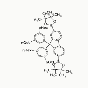 CCCCCCCCc1cc(CCCCCC)cc(C2(c3cc(CCCCCC)cc(CCCCCCCC)c3)c3cc(B4OC(C)(C)C(C)(C)O4)ccc3-c3ccc(B4OC(C)(C)C(C)(C)O4)cc32)c1